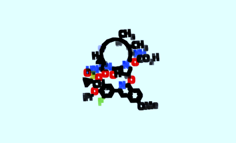 COc1ccc2c(O[C@@H]3C[C@H]4C(=O)N[C@]5(C(=O)NS(=O)(=O)C6(C)CC6)C[C@H]5/C=C\CC[C@H](C)C[C@@H](C)[C@H](NC(=O)O)C(=O)N4C3)nc(-c3ccc(OC(C)C)c(F)c3)cc2c1